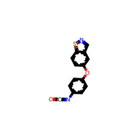 O=C=Nc1ccc(Oc2ccc3sncc3c2)cc1